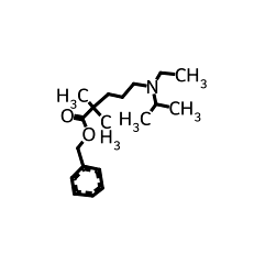 CCN(CCCC(C)(C)C(=O)OCc1ccccc1)C(C)C